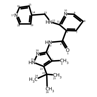 Cc1c(NC(=O)c2cccnc2NCc2ccncc2)n[nH]c1C(C)(C)C